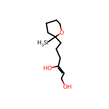 OCC=C(O)CCCC1([SiH3])CCCCO1